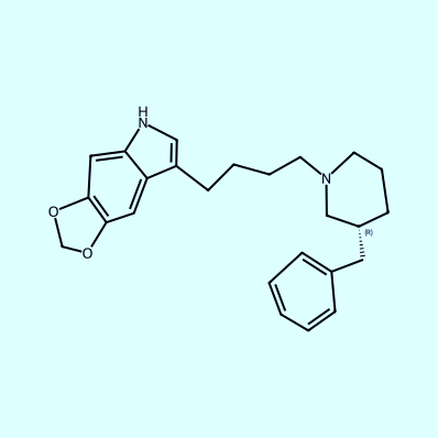 c1ccc(C[C@H]2CCCN(CCCCc3c[nH]c4cc5c(cc34)OCO5)C2)cc1